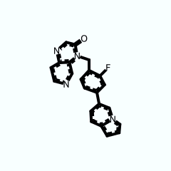 O=c1cnc2ccncc2n1Cc1ccc(-c2ccc3cccn3c2)cc1F